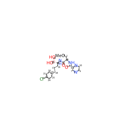 COC[C@@H](NC(=O)c1cnccn1)C(=O)N[C@@H](CCCc1ccc(Cl)cc1)B(O)O